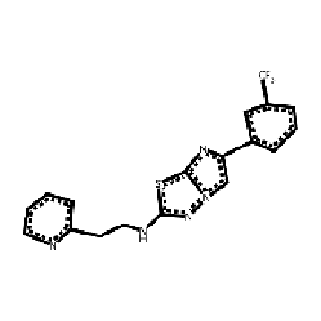 FC(F)(F)c1cccc(-c2cn3nc(NCCc4ccccn4)sc3n2)c1